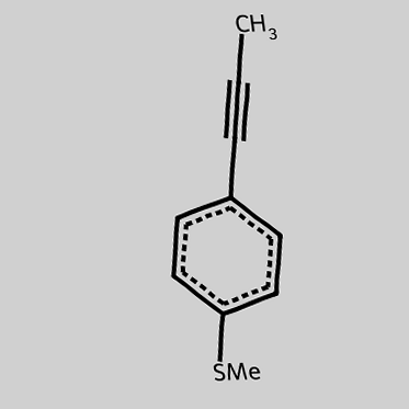 CC#Cc1ccc(SC)cc1